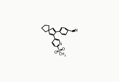 CS(=O)(=O)c1ccc(C2=CC3(C=C2c2ccc(C#N)cc2)CCCC3)cn1